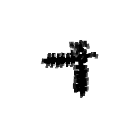 C[Si](C)(C)O[Si](C)(CCC(F)(F)C(F)(F)C(F)(F)C(F)(F)C(F)(F)C(F)(F)F)CCC(F)(F)C(F)(F)C(F)(F)C(F)(F)C(F)(F)C(F)(F)F